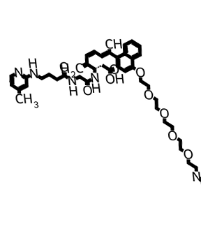 C=C(/C=C\C=C(/C)c1ccc(OCCOCCOCCOCCOCCN=[N+]=[N-])c2ccccc12)[C@H](CC(=O)O)NC(=O)CNC(=O)CCCNc1cc(C)ccn1